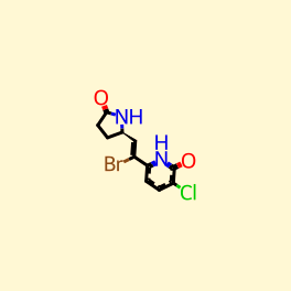 O=C1CC[C@H](/C=C(\Br)c2ccc(Cl)c(=O)[nH]2)N1